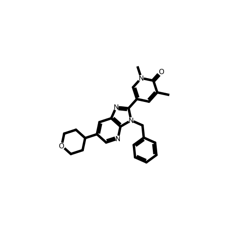 Cc1cc(-c2nc3cc(C4CCOCC4)cnc3n2Cc2ccccc2)cn(C)c1=O